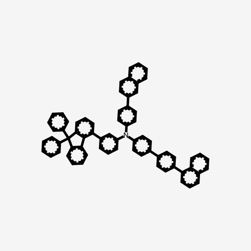 c1ccc(C2(c3ccccc3)c3ccccc3-c3c(-c4cccc(N(c5ccc(-c6ccc(-c7cccc8ccccc78)cc6)cc5)c5ccc(-c6ccc7ccccc7c6)cc5)c4)cccc32)cc1